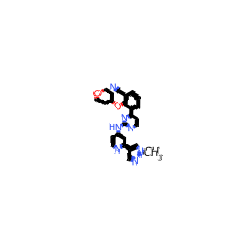 Cn1cc(-c2cc(Nc3nccc(-c4cccc(C#N)c4OC4CCOCC4)n3)ccn2)cn1